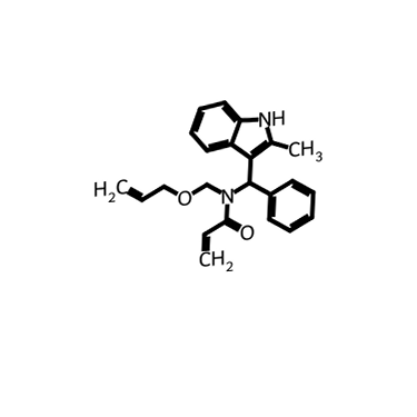 C=CCOCN(C(=O)C=C)C(c1ccccc1)c1c(C)[nH]c2ccccc12